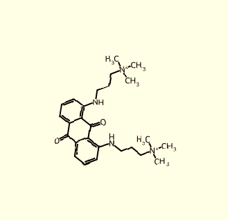 C[N+](C)(C)CCCNc1cccc2c1C(=O)c1c(NCCC[N+](C)(C)C)cccc1C2=O